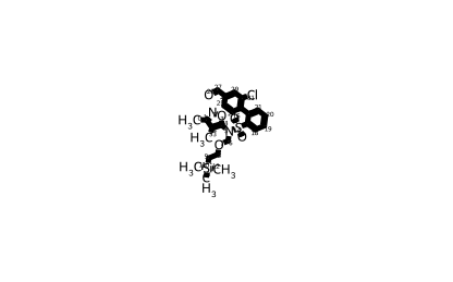 Cc1noc(N(COCC[Si](C)(C)C)S(=O)(=O)c2ccccc2-c2ccc(C=O)cc2Cl)c1C